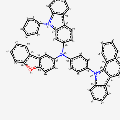 c1ccc(-n2c3ccccc3c3ccc(N(c4ccc(-n5c6ccccc6c6ccc7ccccc7c65)cc4)c4ccc5oc6ccccc6c5c4)cc32)cc1